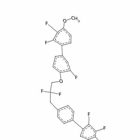 COc1ccc(-c2ccc(OCC(F)(F)Cc3ccc(-c4ccc(C)c(F)c4F)cc3)c(F)c2)c(F)c1F